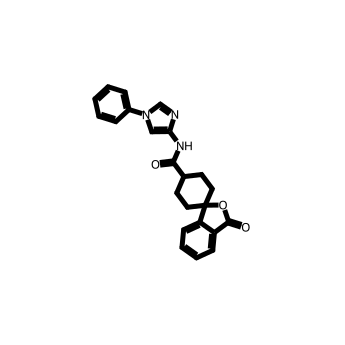 O=C1OC2(CCC(C(=O)Nc3cn(-c4ccccc4)cn3)CC2)c2ccccc21